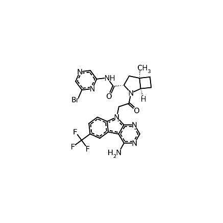 C[C@]12CC[C@H]1N(C(=O)Cn1c3ccc(C(F)(F)F)cc3c3c(N)ncnc31)[C@H](C(=O)Nc1cncc(Br)n1)C2